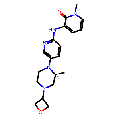 C[C@H]1CN(C2COC2)CCN1c1ccc(Nc2cccn(C)c2=O)nc1